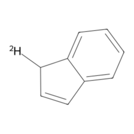 [2H]C1C=Cc2ccccc21